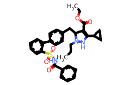 CCCN1NC(C2CC2)=C(C(=O)OCC)C1Cc1ccc(-c2ccccc2S(=O)(=O)NC(=O)c2ccccc2)cc1